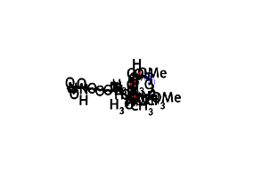 COc1cc2cc(c1Cl)N(C)C(=O)C[C@H](OC(=O)[C@H](C)N(C)C(=O)COCCn1cc(COCCOCCOCCNC(=O)CCN3C(=O)C=CC3=O)nn1)[C@@]1(C)O[C@H]1[C@H](C)[C@@H]1C[C@@](O)(NC(=O)O1)C(OC)/C=C/C=C(\C)C2